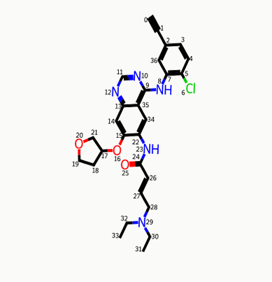 C#Cc1ccc(Cl)c(Nc2ncnc3cc(OC4CCOC4)c(NC(=O)C=CCN(CC)CC)cc23)c1